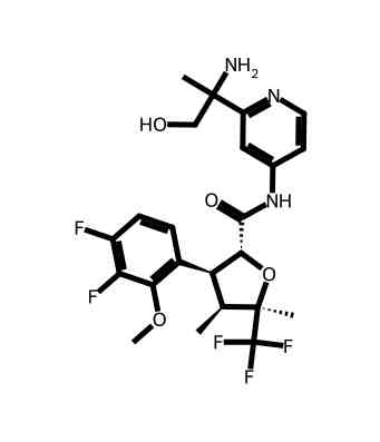 COc1c([C@H]2[C@H](C(=O)Nc3ccnc(C(C)(N)CO)c3)O[C@@](C)(C(F)(F)F)[C@H]2C)ccc(F)c1F